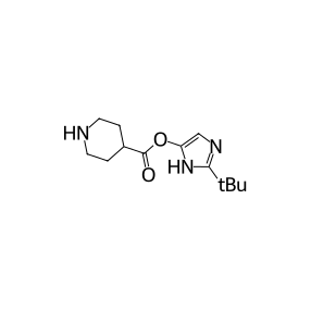 CC(C)(C)c1ncc(OC(=O)C2CCNCC2)[nH]1